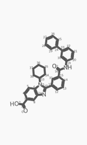 O=C(O)c1ccc2c(c1)nc(-c1cccc(C(=O)Nc3cccc(-c4ccccc4)c3)c1)n2C1CCCCC1